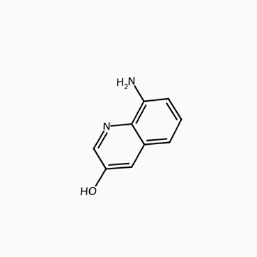 Nc1cccc2cc(O)cnc12